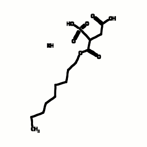 CCCCCCCCCOC(=O)C(CC(=O)O)S(=O)(=O)O.[KH]